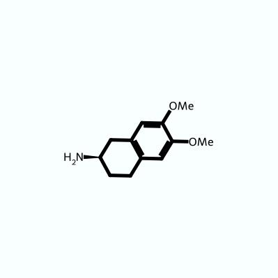 COc1cc2c(cc1OC)C[C@H](N)CC2